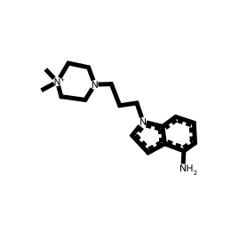 C[N+]1(C)CCN(CCCn2ccc3c(N)cccc32)CC1